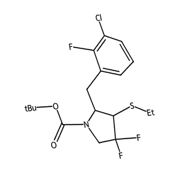 CCSC1C(Cc2cccc(Cl)c2F)N(C(=O)OC(C)(C)C)CC1(F)F